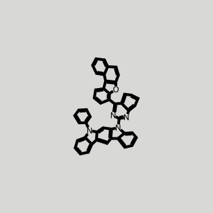 c1ccc(-n2c3ccccc3c3cc4c5ccccc5n(-c5nc(-c6cccc7c6oc6ccc8ccccc8c67)c6ccccc6n5)c4cc32)cc1